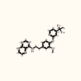 COc1cc(CCNc2ncnc3nccnc23)ccc1Oc1cc(C(C)(F)F)ccn1